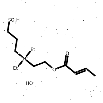 CC=CC(=O)OCC[N+](CC)(CC)CCCS(=O)(=O)O.[OH-]